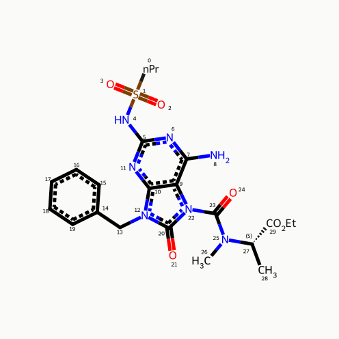 CCCS(=O)(=O)Nc1nc(N)c2c(n1)n(Cc1ccccc1)c(=O)n2C(=O)N(C)[C@@H](C)C(=O)OCC